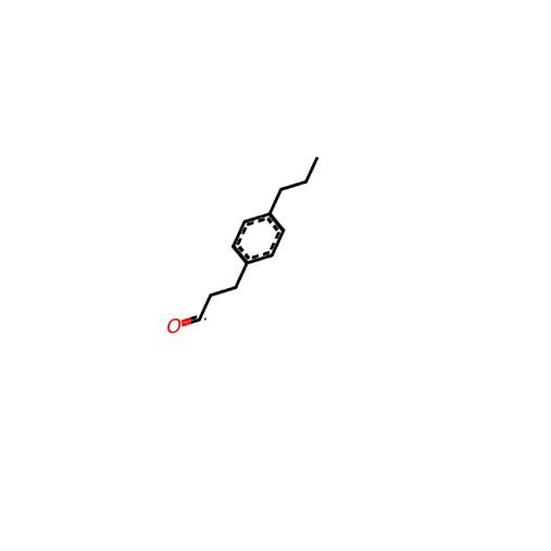 CCCc1ccc(CC[C]=O)cc1